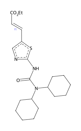 CCOC(=O)/C=C/c1cnc(NC(=O)N(C2CCCCC2)C2CCCCC2)s1